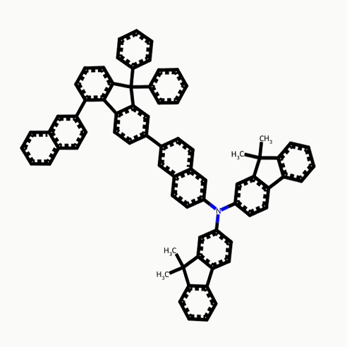 CC1(C)c2ccccc2-c2ccc(N(c3ccc4c(c3)C(C)(C)c3ccccc3-4)c3ccc4cc(-c5ccc6c(c5)C(c5ccccc5)(c5ccccc5)c5cccc(-c7ccc8ccccc8c7)c5-6)ccc4c3)cc21